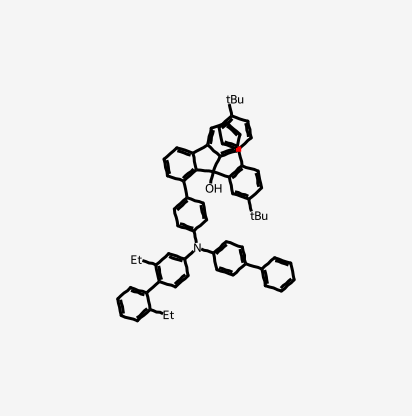 CCc1ccccc1-c1ccc(N(c2ccc(-c3ccccc3)cc2)c2ccc(-c3cccc4c3C(O)(c3cc(C(C)(C)C)ccc3-c3ccc(C(C)(C)C)cc3)c3ccccc3-4)cc2)cc1CC